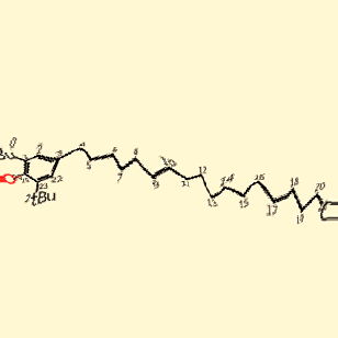 CC(C)(C)c1cc(CCCCCCCCCCCCCCCCCC(=O)O)cc(C(C)(C)C)c1O